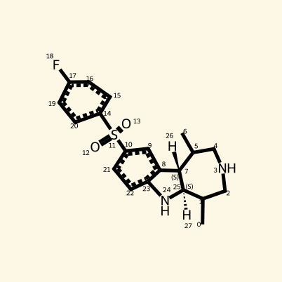 CC1CNCC(C)[C@H]2c3cc(S(=O)(=O)c4ccc(F)cc4)ccc3N[C@H]12